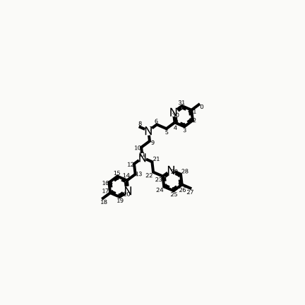 Cc1ccc(CCN(C)CCN(CCc2ccc(C)cn2)CCc2ccc(C)cn2)nc1